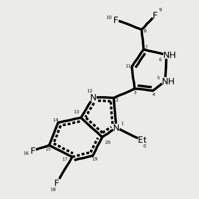 CCn1c(C2=CNNC(C(F)F)=C2)nc2cc(F)c(F)cc21